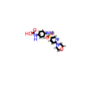 O=C(O)NC1CCC(NS(=O)(=O)c2ccc(N3CCOCC3)nc2)CC1